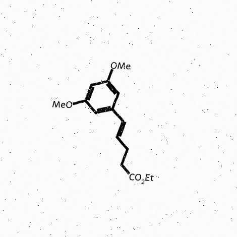 CCOC(=O)CCC=Cc1cc(OC)cc(OC)c1